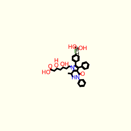 CC(C)c1c(C(=O)Nc2ccccc2)c(-c2ccccc2)c(-c2ccc(F)cc2)n1CC[C@@H](O)C[C@@H](O)CC(=O)O.OBO